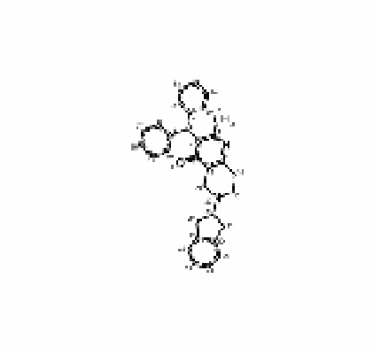 Cc1nc2c(c(=O)n1C(c1ccccc1)c1ccccc1)CN(C1Cc3ccccc3C1)CC2